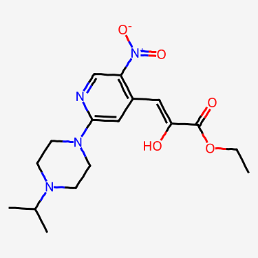 CCOC(=O)C(O)=Cc1cc(N2CCN(C(C)C)CC2)ncc1[N+](=O)[O-]